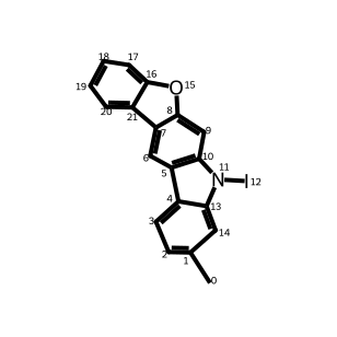 Cc1ccc2c3cc4c(cc3n(I)c2c1)oc1ccccc14